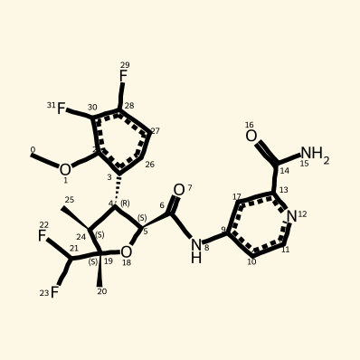 COc1c([C@@H]2[C@@H](C(=O)Nc3ccnc(C(N)=O)c3)O[C@](C)(C(F)F)[C@H]2C)ccc(F)c1F